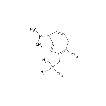 C/C1=C(CC(C)(C)C)/C=C/C(N(C)C)/C=C\C1